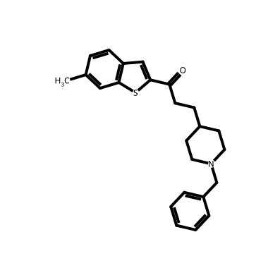 Cc1ccc2cc(C(=O)CCC3CCN(Cc4ccccc4)CC3)sc2c1